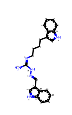 NC(=NCCCCc1c[nH]c2ccccc12)NN=Cc1c[nH]c2ccccc12